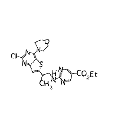 CCOC(=O)c1cnc(NCC(C)c2cc3nc(Cl)nc(N4CCOCC4)c3s2)nc1